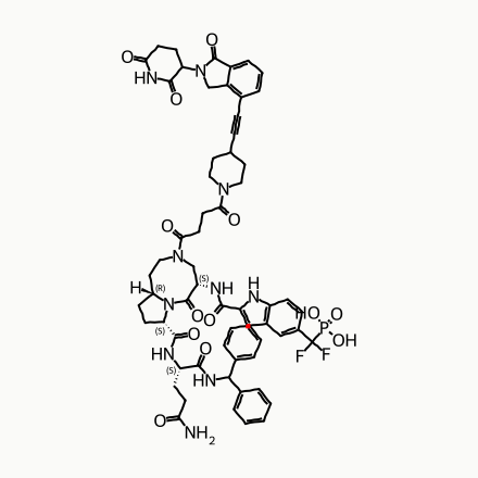 NC(=O)CC[C@H](NC(=O)[C@@H]1CC[C@@H]2CCN(C(=O)CCC(=O)N3CCC(C#Cc4cccc5c4CN(C4CCC(=O)NC4=O)C5=O)CC3)C[C@H](NC(=O)c3cc4cc(C(F)(F)P(=O)(O)O)ccc4[nH]3)C(=O)N21)C(=O)NC(c1ccccc1)c1ccccc1